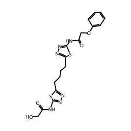 O=C(CO)Nc1nnc(CCCCc2nnc(NC(=O)COc3ccccc3)s2)s1